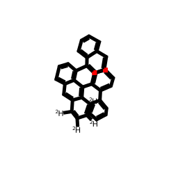 [2H]c1c([2H])c([2H])c2c(-c3ccccc3-c3ccccc3)c3c(-c4cccc5ccccc45)cccc3cc2c1[2H]